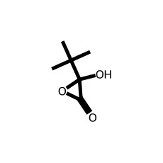 CC(C)(C)C1(O)OC1=O